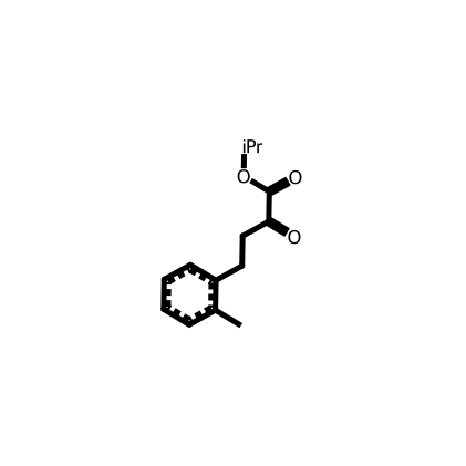 Cc1ccccc1CCC(=O)C(=O)OC(C)C